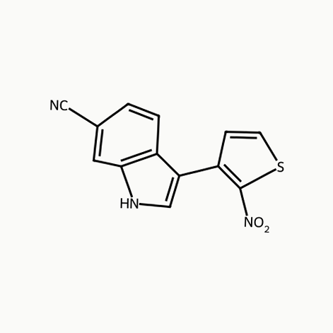 N#Cc1ccc2c(-c3ccsc3[N+](=O)[O-])c[nH]c2c1